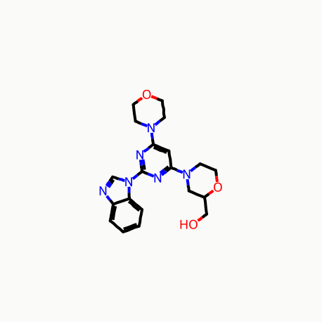 OCC1CN(c2cc(N3CCOCC3)nc(-n3cnc4ccccc43)n2)CCO1